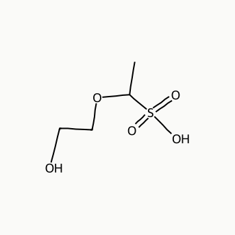 CC(OCCO)S(=O)(=O)O